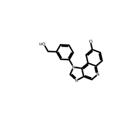 OCc1cccc(-n2cnc3cnc4ccc(Cl)cc4c32)c1